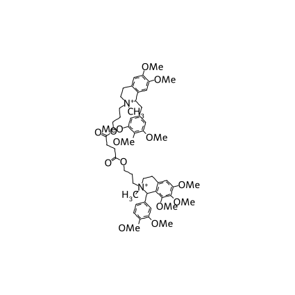 COc1ccc(C2c3c(cc(OC)c(OC)c3OC)CC[N+]2(C)CCCOC(=O)CCC(=O)OCCC[N+]2(C)CCc3cc(OC)c(OC)cc3C2Cc2cc(OC)c(OC)c(OC)c2)cc1OC